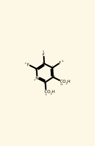 O=C(O)c1nc(F)c(F)c(F)c1C(=O)O